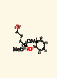 CO[Si](CCCBr)(OC)Oc1ccccc1